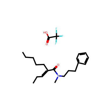 CCC=C(CCCCC)C(=O)N(C)CCCc1ccccc1.O=C(O)C(F)(F)F